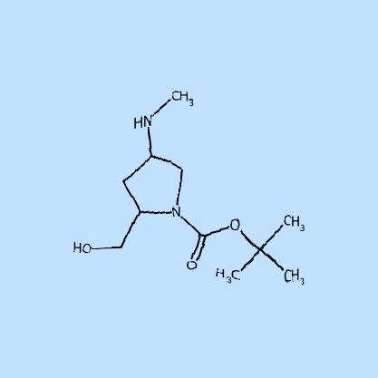 CNC1CC(CO)N(C(=O)OC(C)(C)C)C1